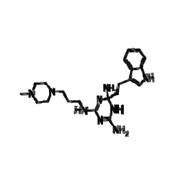 CN1CCN(CCCNC2=NC(N)(CCc3c[nH]c4ccccc34)NC(N)=N2)CC1